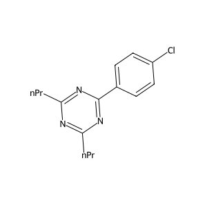 CCCc1nc(CCC)nc(-c2ccc(Cl)cc2)n1